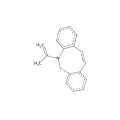 C=C(C)N1Cc2ccccc2/C=C\c2ccccc21